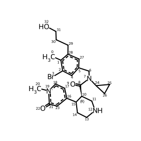 Cc1c(Br)cc(CN(C(=O)[C@H]2CNCCC2c2ccn(C)c(=O)c2)C2CC2)cc1CCCO